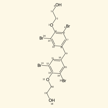 OCCOc1c(Br)cc(Cc2cc(Br)c(OCCO)c(Br)c2)cc1Br